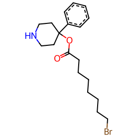 O=C(CCCCCCCBr)OC1(c2ccccc2)CCNCC1